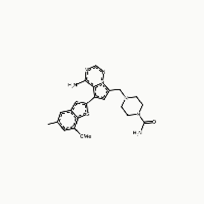 COc1cc(C)cc2cc(-c3cc(CN4CCN(C(N)=O)CC4)n4ncnc(N)c34)sc12